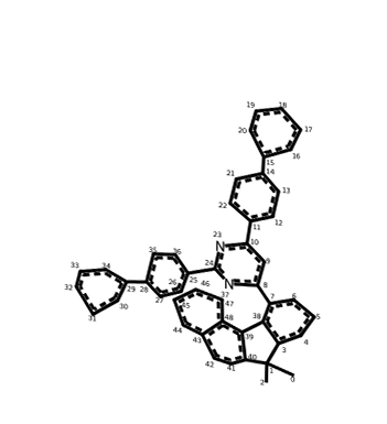 CC1(C)c2cccc(-c3cc(-c4ccc(-c5ccccc5)cc4)nc(-c4ccc(-c5ccccc5)cc4)n3)c2-c2c1ccc1ccccc21